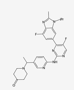 Cc1nc2c(F)cc(-c3nc(Nc4ccc(C(C)N5CCC(=O)CC5)cn4)ncc3F)cc2n1C(C)C